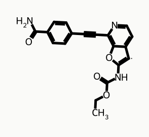 CCOC(=O)Nc1[c]c2ccnc(C#Cc3ccc(C(N)=O)cc3)c2o1